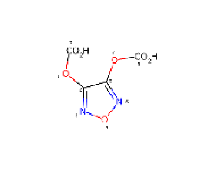 O=C(O)Oc1nonc1OC(=O)O